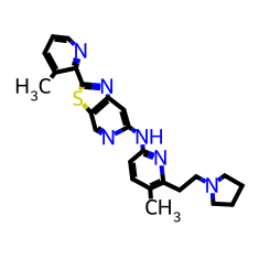 Cc1ccc(Nc2cc3nc(-c4ncccc4C)sc3cn2)nc1CCN1CCCC1